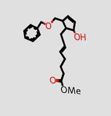 COC(=O)CCCC=CCC1C(O)C=CC1COCc1ccccc1